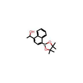 CC(O)c1ccc(B2OC(C)(C)C(C)(C)O2)c2ccccc12